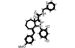 COc1ccc(/C=C2\CCCCC3(C)C(C(=O)NCc4ccccn4)=NN(c4ccc(Cl)cc4Cl)C23)cc1